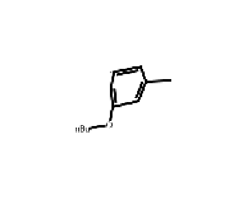 CCCCOc1c[c]cc(C)c1